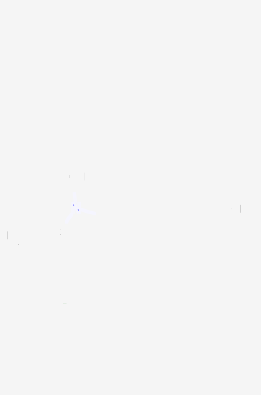 C=C1C(F)CC(c2cc(C)cc(CF)c2)N1C